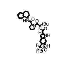 CC(C)(C)C(NC(=O)c1cc2cc(C(F)(F)P(=O)(O)O)ccc2[nH]1)C(=O)N1CCCC1C(=O)N[C@H]1CCCc2ccccc21